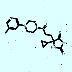 Cc1cncc(N2CCN(C(=O)CCC3(C4CC4)NC(=O)NC3=O)CC2)c1